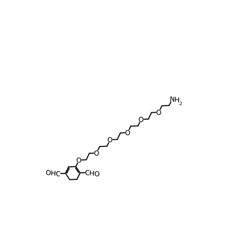 NCCOCCOCCOCCOCCOCCOC1=C(C=O)CCC(C=O)=C1